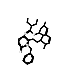 CCC(CC)C(=O)OC1CC(C)C=C2C=CC(C)C(CCc3cccc(=O)n3Cc3ccccc3)C21